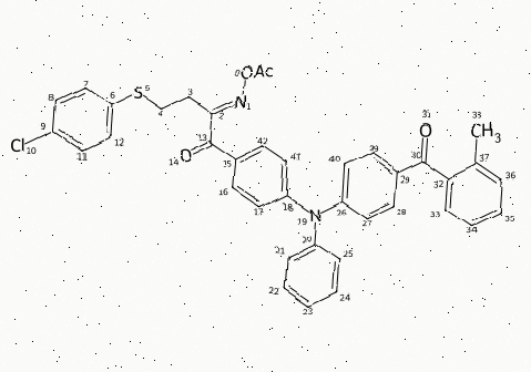 CC(=O)O/N=C(\CCSc1ccc(Cl)cc1)C(=O)c1ccc(N(c2ccccc2)c2ccc(C(=O)c3ccccc3C)cc2)cc1